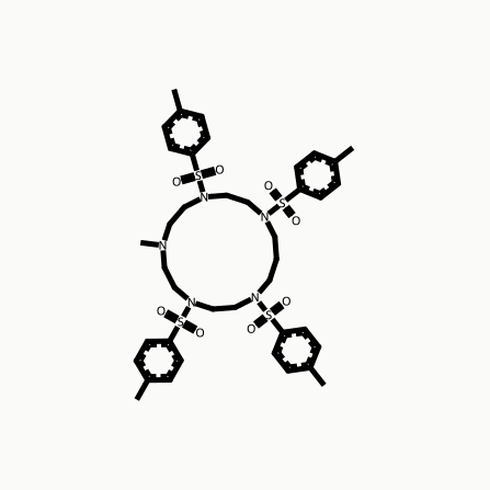 Cc1ccc(S(=O)(=O)N2CCCN(S(=O)(=O)c3ccc(C)cc3)CCN(S(=O)(=O)c3ccc(C)cc3)CCN(C)CCN(S(=O)(=O)c3ccc(C)cc3)CC2)cc1